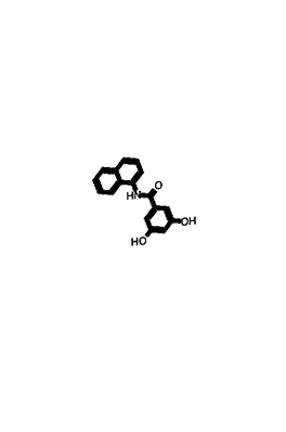 O=C(Nc1cccc2ccccc12)c1cc(O)cc(O)c1